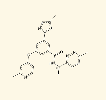 Cc1cc(Oc2cc(C(=O)N[C@H](C)c3ccc(C)nn3)cc(-c3ncc(C)s3)c2)ccn1